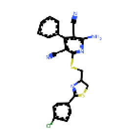 N#Cc1c(N)nc(SCC2CSC(c3ccc(Cl)cc3)=N2)c(C#N)c1-c1ccccc1